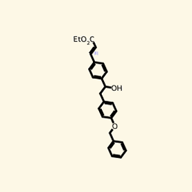 CCOC(=O)/C=C/c1ccc(C(O)Cc2ccc(OCc3ccccc3)cc2)cc1